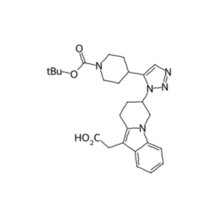 CC(C)(C)OC(=O)N1CCC(c2cnnn2C2CCc3c(CC(=O)O)c4ccccc4n3C2)CC1